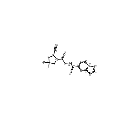 N#CC1CC(F)(F)CN1C(=O)CNC(=O)c1ccn2nccc2c1